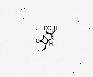 CC=C1C(=O)N2C(C(=O)O)=C(C)S[C@H]12